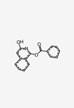 O=C(Oc1nc(O)cc2ccccc12)c1ccccc1